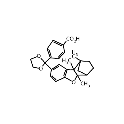 CC12CCC(C1)C1(C)Oc3ccc(C4(c5ccc(C(=O)O)cc5)OCCO4)cc3C21C